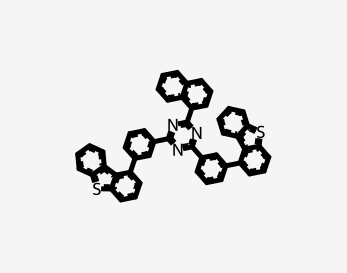 c1cc(-c2nc(-c3cccc(-c4cccc5sc6ccccc6c45)c3)nc(-c3cccc4ccccc34)n2)cc(-c2cccc3sc4ccccc4c23)c1